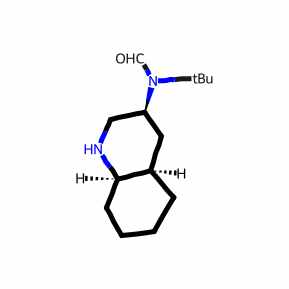 CC(C)(C)N(C=O)[C@@H]1CN[C@@H]2CCCC[C@@H]2C1